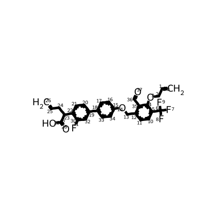 C=CCOc1c(C(F)(F)F)ccc(COc2ccc(-c3ccc(C(CC=C)C(=O)O)c(F)c3)cc2)c1C=O